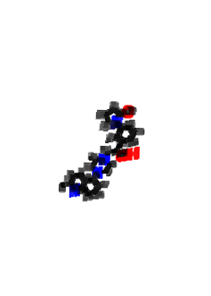 Cc1ccc2c(N3CCN(CC(O)c4cccc(N5CCCC5=O)c4)CC3)cccc2n1